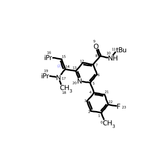 Cc1ccc(-c2cc(C(=O)NC(C)(C)C)cc(/C(=C/C(C)C)N(C)C(C)C)n2)cc1F